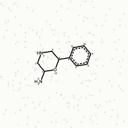 NC1CNCC(c2ccccc2)O1